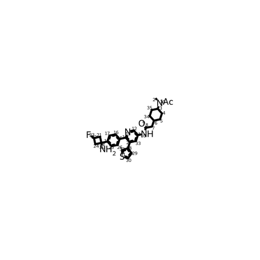 CC(=O)N(C)C1CCC(CC(=O)Nc2cnc(-c3ccc(C4(N)CC(F)C4)cc3)c(-c3ccsc3)c2)CC1